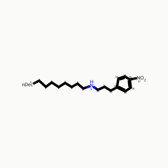 CCCCCCCCCCCCCCCCCCNCCCc1ccc([N+](=O)[O-])cc1